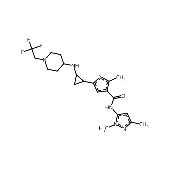 Cc1cc(NC(=O)c2cc(C3CC3NC3CCN(CC(F)(F)F)CC3)sc2C)n(C)n1